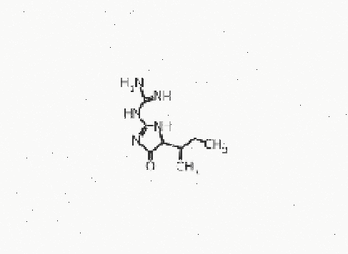 CCC(C)C1NC(NC(=N)N)=NC1=O